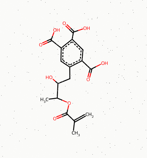 C=C(C)C(=O)OC(C)C(O)Cc1cc(C(=O)O)c(C(=O)O)cc1C(=O)O